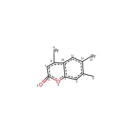 Cc1cc2oc(=O)cc(C(C)C)c2cc1C(C)C